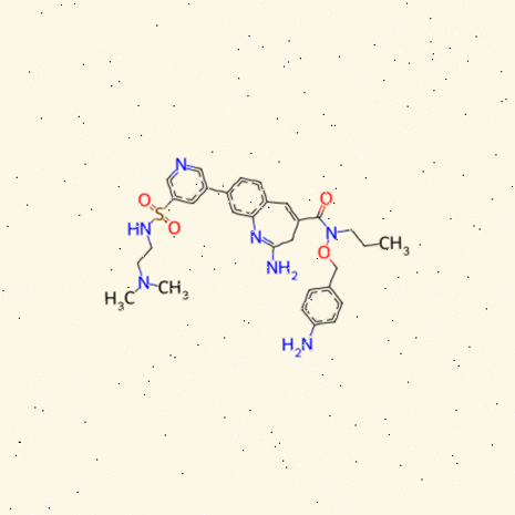 CCCN(OCc1ccc(N)cc1)C(=O)C1=Cc2ccc(-c3cncc(S(=O)(=O)NCCN(C)C)c3)cc2N=C(N)C1